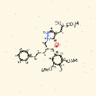 CCC(=Cc1cnn(C[C@H](CCCc2ccccc2)[C@H](O)c2cc(OC)c(C)c(OC)c2)c1)C(=O)O